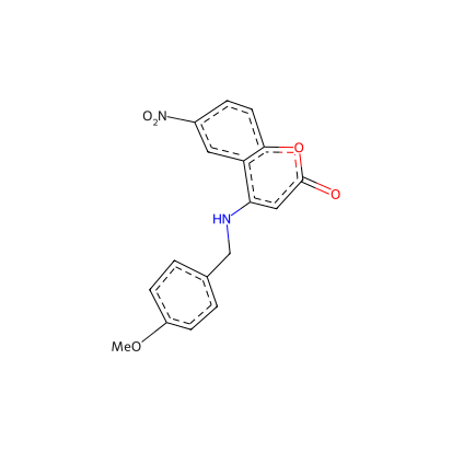 COc1ccc(CNc2cc(=O)oc3ccc([N+](=O)[O-])cc23)cc1